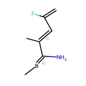 C=C(F)/C=C(C)/C(N)=B\C